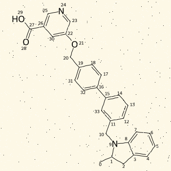 CC1Cc2ccccc2N1Cc1cccc(-c2ccc(COc3cncc(C(=O)O)c3)cc2)c1